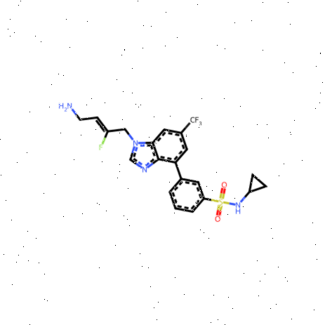 NCC=C(F)Cn1cnc2c(-c3cccc(S(=O)(=O)NC4CC4)c3)cc(C(F)(F)F)cc21